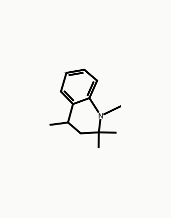 CC1CC(C)(C)N(C)c2cc[c]cc21